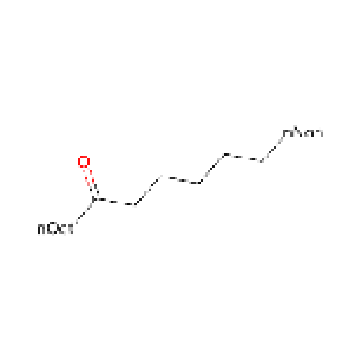 CCCCCCCCCCCCCCC(=O)CCCCCCCC